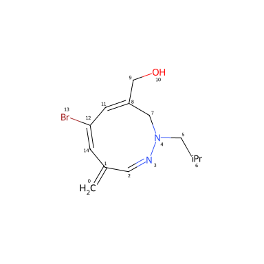 C=C1/C=N\N(CC(C)C)C/C(CO)=C\C(Br)=C/1